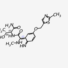 CN/C(C(=O)N[C@H](C(N)=O)[C@@H](C)O)=C1/C=C(OCc2cnc(C)s2)C=CC1=N